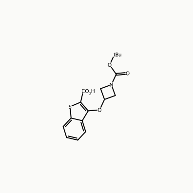 CC(C)(C)OC(=O)N1CC(Oc2c(C(=O)O)sc3ccccc23)C1